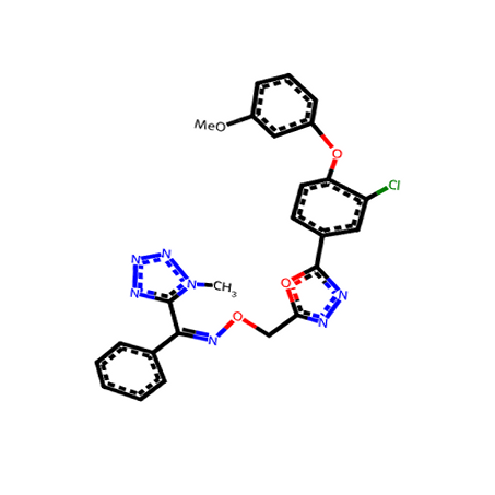 COc1cccc(Oc2ccc(-c3nnc(CO/N=C(/c4ccccc4)c4nnnn4C)o3)cc2Cl)c1